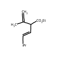 C=C(C)C(C=CC(C)C)C(=O)OCC